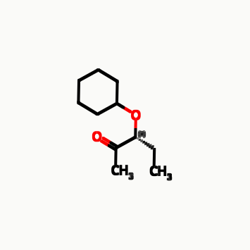 CC[C@@H](OC1CCCCC1)C(C)=O